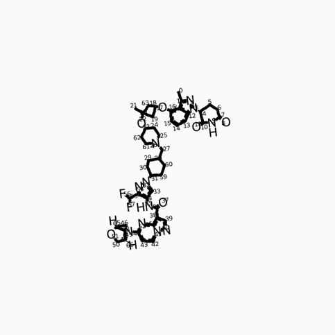 Cc1nn([C@@H]2CCC(=O)NC2=O)c2cccc(OC3CC(C)(OC4CCN(CC5CCC(n6cc(NC(=O)c7cnn8ccc(N9C[C@H]%10C[C@@H]9CO%10)nc78)c(C(F)F)n6)CC5)CC4)C3)c12